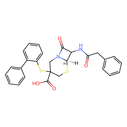 O=C(Cc1ccccc1)NC1C(=O)N2CC(Sc3ccccc3-c3ccccc3)(C(=O)O)CS[C@H]12